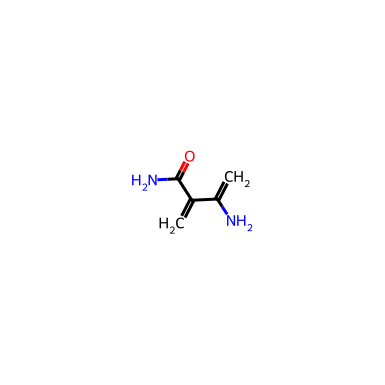 C=C(N)C(=C)C(N)=O